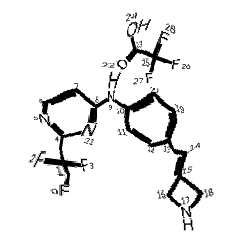 FC(F)(F)c1nccc(Nc2ccc(C=C3CNC3)cc2)n1.O=C(O)C(F)(F)F